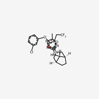 Cc1nnc(N2C[C@H]3CC[C@@H](C2)[C@@H]3Nc2nc(Oc3cccc(Cl)c3)n(CC(F)(F)F)n2)o1